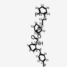 O=C(Nc1ccccc1Cc1ccc(F)cc1)OC1C[N+]2(CCSc3ccccc3F)CCC1CC2